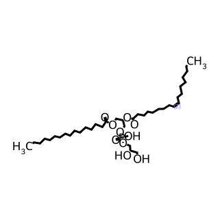 CCCCCCCC/C=C\CCCCCCCC(=O)OC(COC(=O)CCCCCCCCCCCCCCC)COP(=O)(O)OCC(O)CO